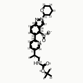 CC(CNC(=O)OC(C)(C)C)c1ccc(-c2ccc3nn(C4CCCCO4)cc3c2[N+](=O)[O-])nc1